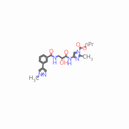 CCCOC(=O)n1cc(NC(=O)[C@H](O)CNC(=O)c2cccc(-c3cnn(C)c3)c2)nc1C